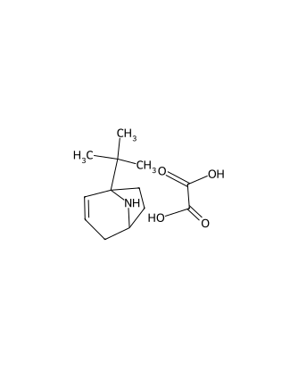 CC(C)(C)C12C=CCC(CC1)N2.O=C(O)C(=O)O